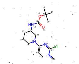 C=N/C(Cl)=N\C(=C/C)N1CCCC(NC(=O)OC(C)(C)C)C1